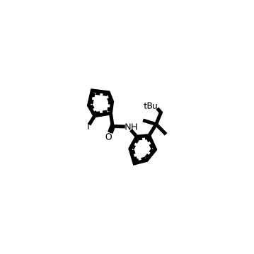 CC(C)(C)CC(C)(C)c1ccccc1NC(=O)c1ccccc1I